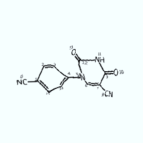 N#Cc1ccc(-n2cc(C#N)c(=O)[nH]c2=O)cc1